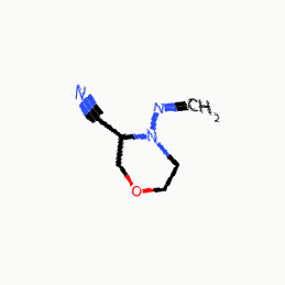 C=NN1CCOCC1C#N